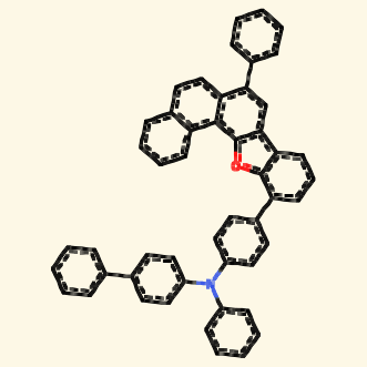 c1ccc(-c2ccc(N(c3ccccc3)c3ccc(-c4cccc5c4oc4c5cc(-c5ccccc5)c5ccc6ccccc6c54)cc3)cc2)cc1